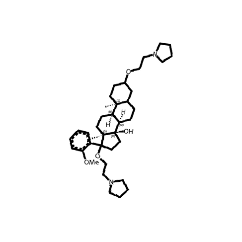 COc1ccccc1C1(OCCN2CCCC2)CC[C@@]2(O)[C@@H]3CCC4CC(OCCN5CCCC5)CC[C@]4(C)[C@@H]3CC[C@]12C